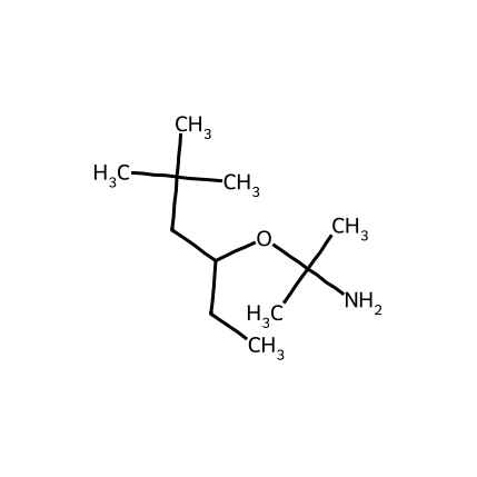 CCC(CC(C)(C)C)OC(C)(C)N